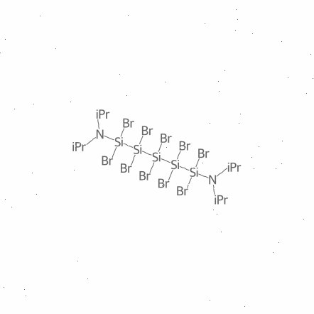 CC(C)N(C(C)C)[Si](Br)(Br)[Si](Br)(Br)[Si](Br)(Br)[Si](Br)(Br)[Si](Br)(Br)N(C(C)C)C(C)C